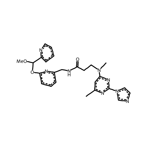 COC(Oc1cccc(CNC(=O)CCN(C)c2cc(C)nc(-n3ccnc3)n2)n1)c1ccccn1